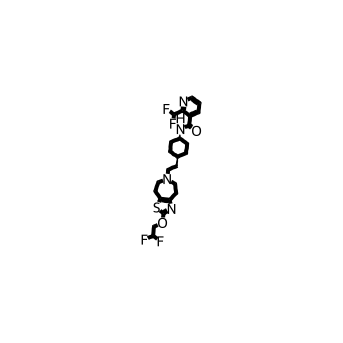 O=C(N[C@H]1CC[C@H](CCN2CCc3nc(OCC(F)F)sc3CC2)CC1)c1cccnc1C(F)F